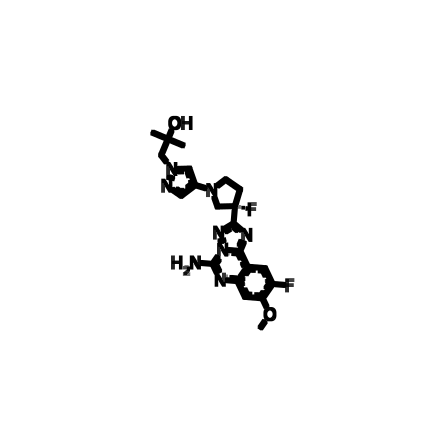 COc1cc2nc(N)n3nc([C@]4(F)CCN(c5cnn(CC(C)(C)O)c5)C4)nc3c2cc1F